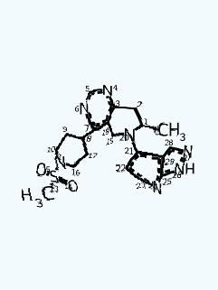 C[C@@H]1Cc2ncnc(C3CCN(S(C)(=O)=O)CC3)c2CN1c1ccnc2[nH]ncc12